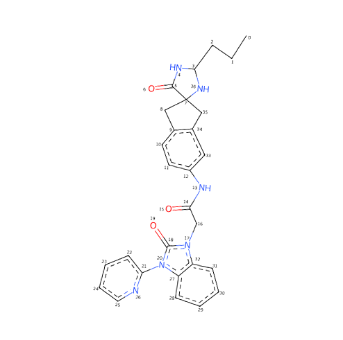 CCCC1NC(=O)C2(Cc3ccc(NC(=O)Cn4c(=O)n(-c5ccccn5)c5ccccc54)cc3C2)N1